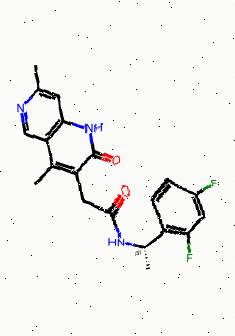 Cc1cc2[nH]c(=O)c(CC(=O)N[C@@H](C)c3ccc(F)cc3F)c(C)c2cn1